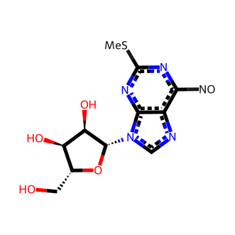 CSc1nc(N=O)c2ncn([C@@H]3O[C@H](CO)[C@@H](O)[C@H]3O)c2n1